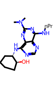 CCCNc1nc(N(C)C)nc2c(N[C@H]3CCCC[C@@H]3O)ncnc12